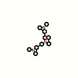 C1=C(c2ccc(N(c3ccc(-c4ccc5c(c4)c4ccccc4n5-c4ccccc4)cc3)c3ccccc3-c3ccccc3)cc2)CCc2c1c1ccccc1n2-c1ccccc1